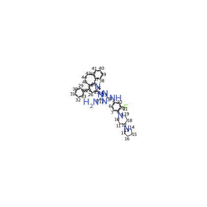 Nc1nc(Nc2ccc(N3CCC(N4CCCC4)CC3)c(F)c2)nn1-c1cc(-c2ccccc2)c2c(n1)-c1ccccc1CCC2